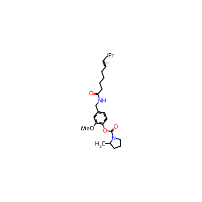 COc1cc(CNC(=O)CCCC/C=C/C(C)C)ccc1OC(=O)N1CCCC1C